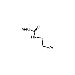 [CH2]CCCCNC(=O)OC